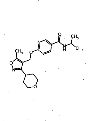 Cc1onc(C2CCOCC2)c1COc1ccc(C(=O)NC(C)C)cn1